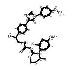 CCC(CNC(=O)/N=C1\SCCC(C)N1c1ccc(OC)cc1C(C)C)c1ccc(-c2ncn(-c3ccc(OC(F)(F)F)cc3)n2)cc1